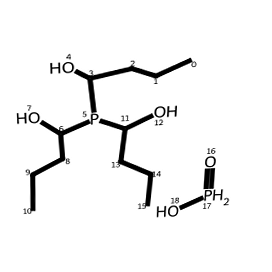 CCCC(O)P(C(O)CCC)C(O)CCC.O=[PH2]O